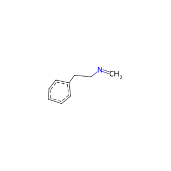 C=NCCc1ccccc1